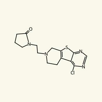 O=C1CCCN1CCN1CCc2c(sc3ncnc(Cl)c23)C1